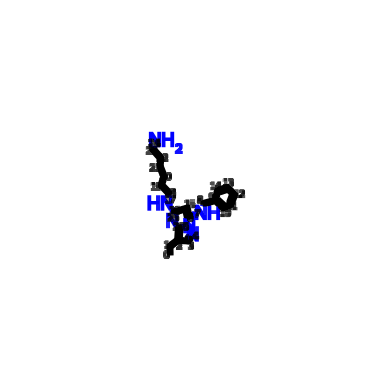 CCc1cnn2c(NCc3ccccc3)cc(NCCCCCCN)nc12